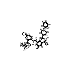 Cc1cc([C@@H](C)Nc2ccc(Cl)nc2C(=O)NS(C)(=O)=O)c2nc(C3CCN(c4ccccc4)CC3)n(C)c(=O)c2c1